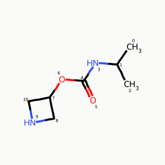 CC(C)NC(=O)OC1CNC1